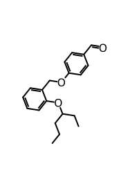 CCCC(CC)Oc1ccccc1COc1ccc(C=O)cc1